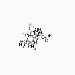 CCCC(=O)OCC1=C[C@@H]2C(=O)[C@]3(C=C(C)[C@H](O)[C@@]3(O)[C@@H]1O)[C@H](C)C[C@]1(O)[C@H]2C1(C)C